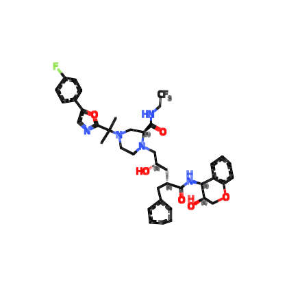 CC(C)(c1ncc(-c2ccc(F)cc2)o1)N1CCN(C[C@@H](O)C[C@@H](Cc2ccccc2)C(=O)N[C@H]2c3ccccc3OC[C@H]2O)[C@H](C(=O)NCC(F)(F)F)C1